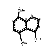 COc1ccc(OC)c2c(C=O)ccnc12